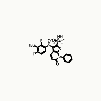 CC(C)(C)c1c(F)ccc(N(C(=O)O)c2c(S(N)(=O)=O)sc3c2ccc(=O)n3-c2ccccc2)c1F